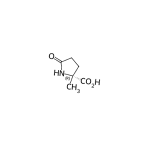 C[C@]1(C(=O)O)CCC(=O)N1